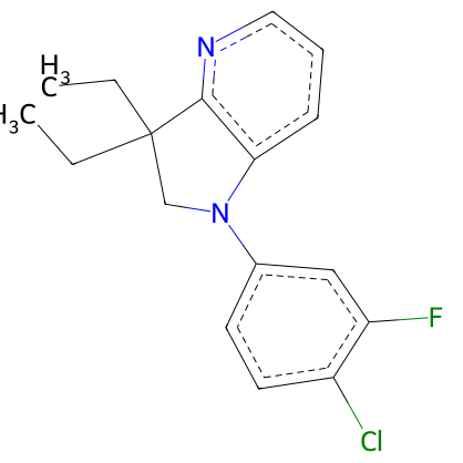 CCC1(CC)CN(c2ccc(Cl)c(F)c2)c2cccnc21